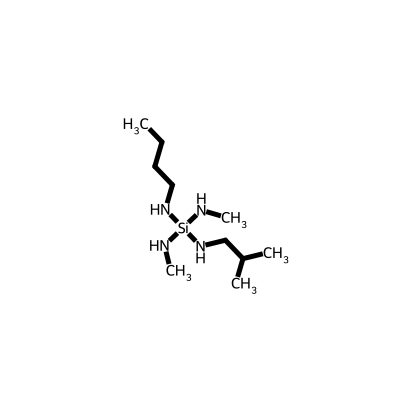 CCCCN[Si](NC)(NC)NCC(C)C